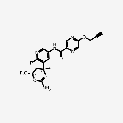 C#CCOc1cnc(C(=O)Nc2cnc(F)c([C@@]3(C)C[C@@H](C(F)(F)F)OC(N)=N3)c2)cn1